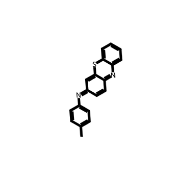 Cc1ccc(/N=c2\ccc3nc4ccccc4sc-3c2)cc1